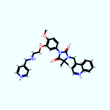 COc1ccc(N2C(=O)N(Cc3ccnc4ccccc34)C(C)(C)C2=O)cc1OCCNCc1ccncc1